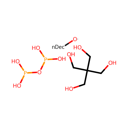 CCCCCCCCCC[O].OCC(CO)(CO)CO.OP(O)OP(O)O